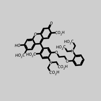 O=C(O)CN(CC(=O)O)c1ccccc1OCCOc1cc(-c2c3cc(C(=O)O)c(=O)cc-3oc3cc(O)c(C(=O)O)cc23)c(C(=O)O)cc1N(CC(=O)O)CC(=O)O